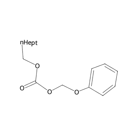 CCCCCCCCOC(=O)OCOc1ccccc1